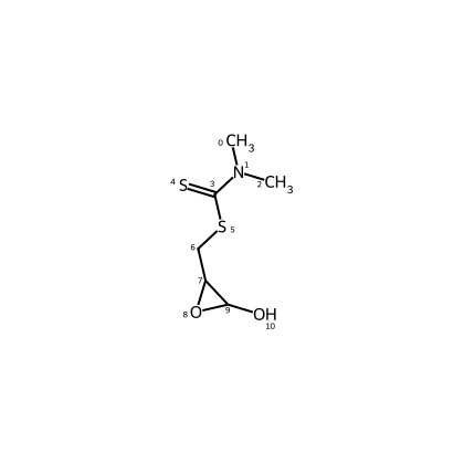 CN(C)C(=S)SCC1OC1O